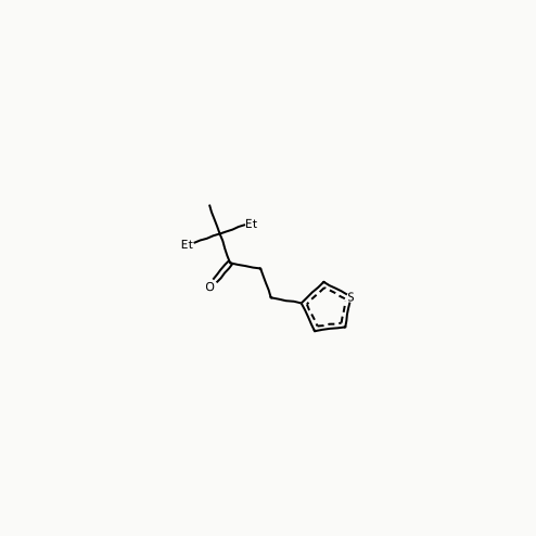 CCC(C)(CC)C(=O)CCc1ccsc1